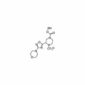 CC(C)(C)OC(=O)N1CCN(C(=O)O)C(c2nc(N3CCOCC3)no2)C1